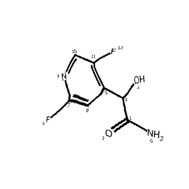 NC(=O)C(O)c1cc(F)ncc1F